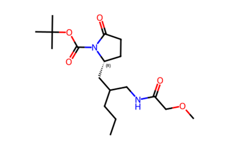 CCCC(CNC(=O)COC)C[C@H]1CCC(=O)N1C(=O)OC(C)(C)C